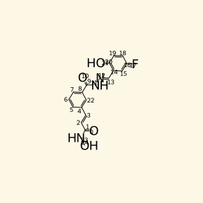 O=C(/C=C/c1cccc(C(=O)N/N=C/c2cc(F)ccc2O)c1)NO